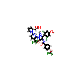 COc1cc(F)c(-c2c(NC(=O)c3ccc(OC(F)F)cc3)c(=O)n(-c3nc(N4CCC[C@H]4CO)ccc3C(F)(F)F)n2C)c(F)c1